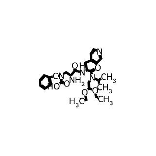 CCOC(CN(C(=O)C(Cc1ccncc1)NC(=O)C(N)CN(Cc1ccccc1)C(=O)O)C(C)C)OCC